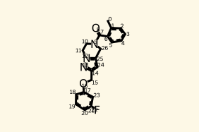 Cc1ccccc1C(=O)N1CCn2nc(COc3cccc(F)c3)cc2C1